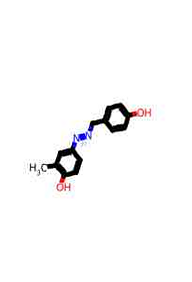 Cc1cc(/N=N/Cc2ccc(O)cc2)ccc1O